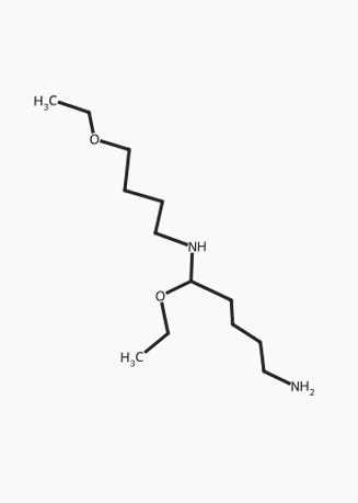 CCOCCCCNC(CCCCN)OCC